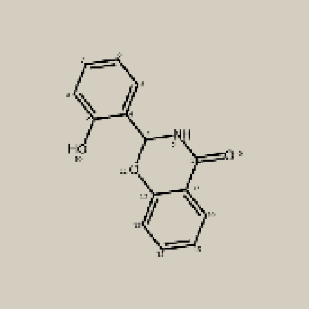 O=C1NC(c2ccccc2O)Oc2ccccc21